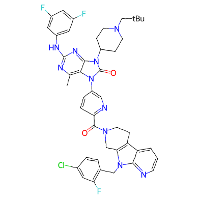 Cc1nc(Nc2cc(F)cc(F)c2)nc2c1n(-c1ccc(C(=O)N3CCc4c(n(Cc5ccc(Cl)cc5F)c5ncccc45)C3)nc1)c(=O)n2C1CCN(CC(C)(C)C)CC1